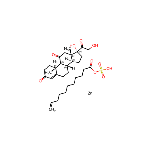 C=CCCCCCCCCC(=O)OS(=O)(=O)O.C[C@]12CCC(=O)C=C1CC[C@@H]1[C@@H]2C(=O)C[C@@]2(C)[C@H]1CC[C@]2(O)C(=O)CO.[Zn]